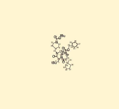 CC(C)(C)C[C@H]1C(=O)N(CC2CCN(C(=O)OC(C)(C)C)CC2)C[C@@H]2N(C(=O)OCc3ccccc3)O[C@H](CC3CCCCC3)C(=O)N21